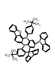 CC(C)(C)c1ccc(N2c3cc(-n4c5ccccc5c5ccccc54)cc4c3B(c3cc(C(C)(C)C)ccc3C43c4ccccc4-c4ccccc43)c3ccc4c(oc5ccccc54)c32)cc1